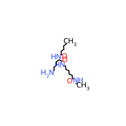 CCCCCC(=O)NC(CCCCN)C(=O)NCCCCCC(=O)NCC